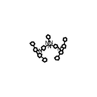 c1ccc(-c2ccc3c4ccc(-c5ccccc5)cc4n(-c4ccc(-c5nc(-c6ccccc6)nc(-c6ccc(-n7c8cc(-c9ccccc9)ccc8c8ccc(-c9ccccc9)cc87)cc6)n5)cc4)c3c2)cc1